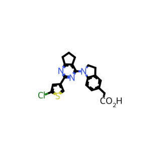 O=C(O)Cc1ccc2c(c1)CCN2c1nc(-c2csc(Cl)c2)nc2c1CCC2